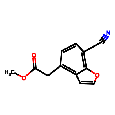 COC(=O)Cc1ccc(C#N)c2occc12